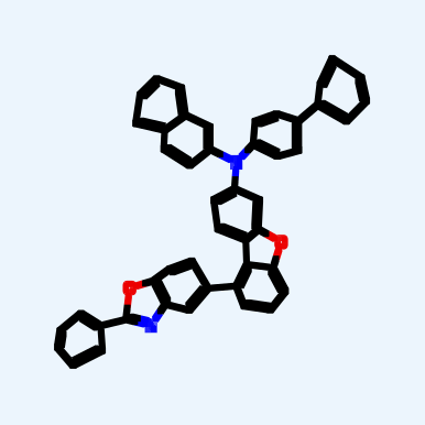 c1ccc(-c2ccc(N(c3ccc4ccccc4c3)c3ccc4c(c3)oc3cccc(-c5ccc6oc(-c7ccccc7)nc6c5)c34)cc2)cc1